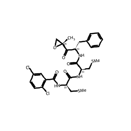 CSC[C@@H](NC(=O)c1cc(Cl)ccc1Cl)C(=O)N[C@H](CSC)C(=O)N[C@@H](Cc1ccccc1)C(=O)[C@@]1(C)CO1